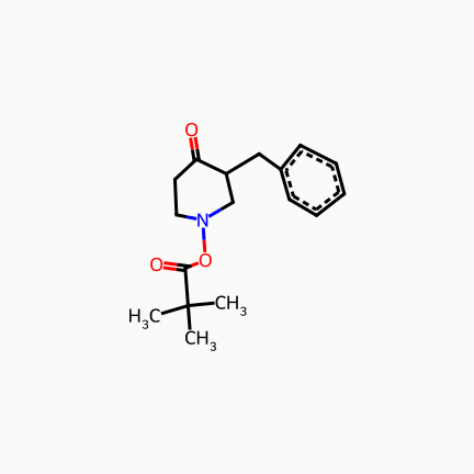 CC(C)(C)C(=O)ON1CCC(=O)C(Cc2ccccc2)C1